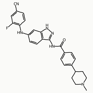 CN1CCC(c2ccc(C(=O)Nc3n[nH]c4cc(Nc5ccc(C#N)cc5F)ccc34)cc2)CC1